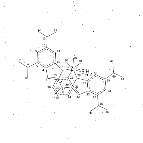 CCC1=Cc2c(C(C)C)cc(C(C)C)cc2[CH]1[Zr]([CH3])([CH3])([CH3])(=[SiH2])([c]1ccccc1)[CH]1C(CC)=Cc2c(C(C)C)cc(C(C)C)cc21